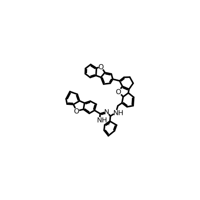 N/C(=N\C(NCC1=CC=CC2C3=C(OC12)C(c1ccc2c(c1)oc1ccccc12)=CCC3)c1ccccc1)c1ccc2c(c1)oc1ccccc12